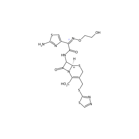 Nc1nc(/C(=N/OCCO)C(=O)NC2C(=O)N3C(C(=O)O)=C(CSc4nncs4)CS[C@H]23)cs1